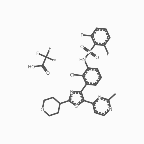 Cc1nccc(-c2sc(C3CCOCC3)nc2-c2cccc(NS(=O)(=O)c3c(F)cccc3F)c2Cl)n1.O=C(O)C(F)(F)F